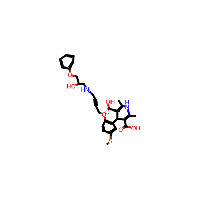 CSc1ccc(OCC#CCNCC(O)COc2ccccc2)c(C2C(C(=O)O)=C(C)NC(C)=C2C(=O)O)c1